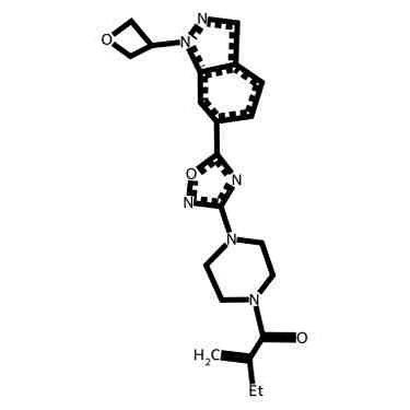 C=C(CC)C(=O)N1CCN(c2noc(-c3ccc4cnn(C5COC5)c4c3)n2)CC1